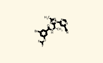 Cc1nc([C@H](C)NC(=O)c2cc(Br)cc(OC(F)F)c2)n(-c2cc(C#N)ncn2)n1